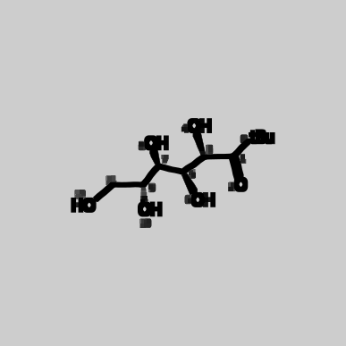 CC(C)(C)C(=O)[C@H](O)[C@@H](O)[C@H](O)[C@H](O)CO